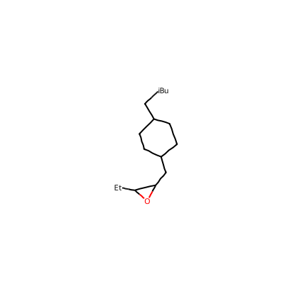 CCC(C)CC1CCC(CC2OC2CC)CC1